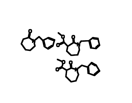 COC(=O)C1CCCCN(Cc2ccccc2)C1=O.COC(=O)C1CCCCN(Cc2ccccc2)C1=O.O=C1CCCCCN1Cc1ccccc1